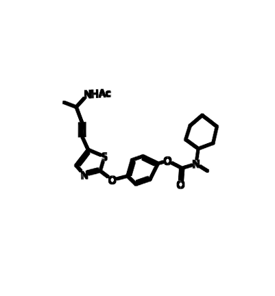 CC(=O)NC(C)C#Cc1cnc(Oc2ccc(OC(=O)N(C)C3CCCCC3)cc2)s1